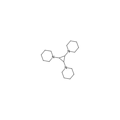 C1CCN(C2C(N3CCCCC3)C2N2CCCCC2)CC1